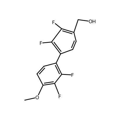 COc1ccc(-c2ccc(CO)c(F)c2F)c(F)c1F